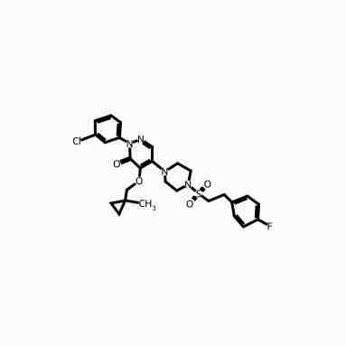 CC1(COc2c(N3CCN(S(=O)(=O)CCc4ccc(F)cc4)CC3)cnn(-c3cccc(Cl)c3)c2=O)CC1